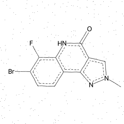 Cn1cc2c(=O)[nH]c3c(F)c(Br)ccc3c2n1